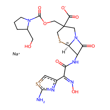 Nc1nc(C(=NO)C(=O)NC2C(=O)N3CC(COC(=O)N4CCCC4CO)(C(=O)[O-])CS[C@H]23)cs1.[Na+]